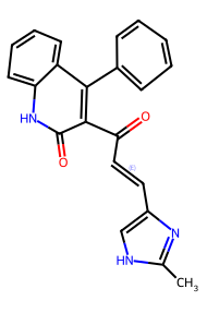 Cc1nc(/C=C/C(=O)c2c(-c3ccccc3)c3ccccc3[nH]c2=O)c[nH]1